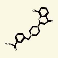 COC(=O)c1cccc(CN2CCN(c3cc(=O)c4cccc(Cl)c4o3)CC2)c1